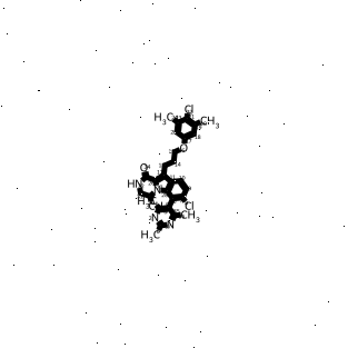 Cc1nc(C)c(-c2c(Cl)ccc3c(CCCOc4cc(C)c(Cl)c(C)c4)c4n(c23)C(C)CNC4=O)c(C)n1